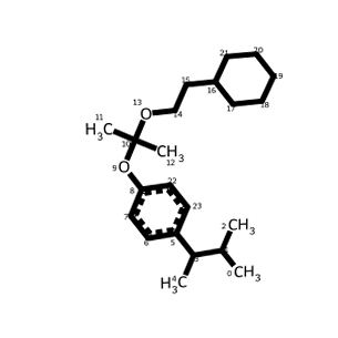 CC(C)C(C)c1ccc(OC(C)(C)OCCC2CCCCC2)cc1